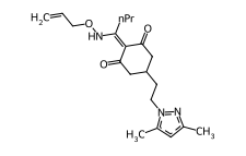 C=CCONC(CCC)=C1C(=O)CC(CCn2nc(C)cc2C)CC1=O